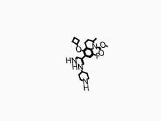 COC(=O)N1c2c(F)cc(/C(C=N)=C/NC3CCNCC3)c(OC3CCC3)c2CCC1C